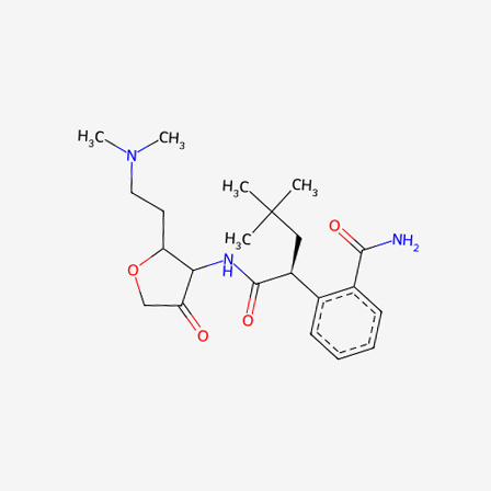 CN(C)CCC1OCC(=O)C1NC(=O)[C@@H](CC(C)(C)C)c1ccccc1C(N)=O